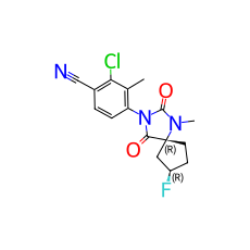 Cc1c(N2C(=O)N(C)[C@@]3(CC[C@@H](F)C3)C2=O)ccc(C#N)c1Cl